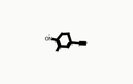 C#CC1=CC(C)=C(N=O)CC1